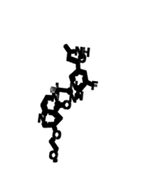 COCCOc1cnc2ccn([C@H](C)c3nnc4c(F)cc(C5=CC(C)NO5)cn34)c(=O)c2c1